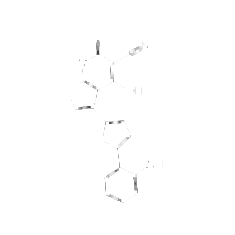 N#Cc1c(O)c2c(-c3ccc(-c4ccccc4N)s3)csc2[nH]c1=O